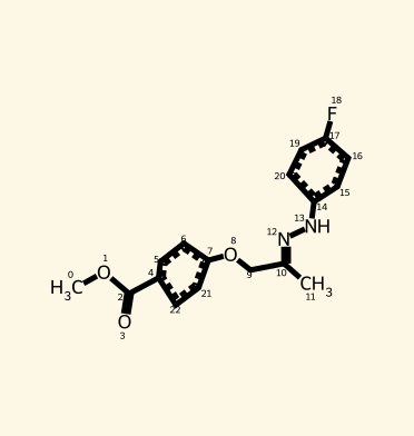 COC(=O)c1ccc(OCC(C)=NNc2ccc(F)cc2)cc1